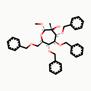 CO[C@H]1O[C@H](COCc2ccccc2)[C@@H](OCc2ccccc2)[C@H](OCc2ccccc2)[C@@H](OCc2ccccc2)[C@@]1(C)O